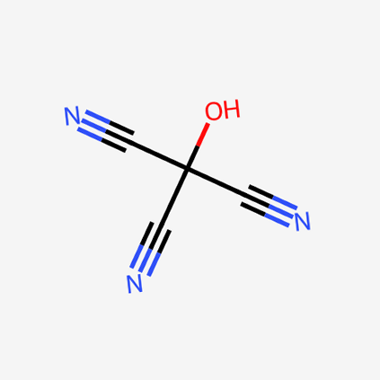 N#CC(O)(C#N)C#N